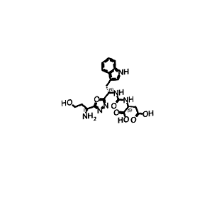 N[C@@H](CCO)c1nnc([C@H](Cc2c[nH]c3ccccc23)NC(=O)N[C@@H](CC(=O)O)C(=O)O)o1